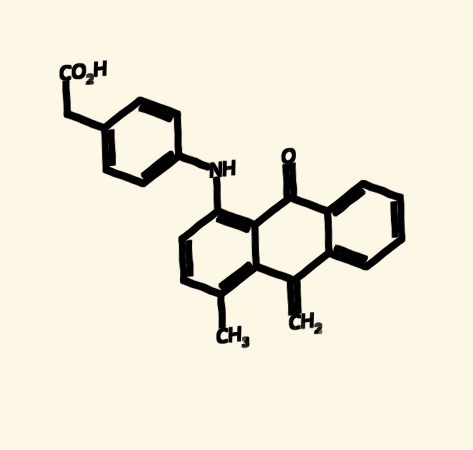 C=C1c2ccccc2C(=O)c2c(Nc3ccc(CC(=O)O)cc3)ccc(C)c21